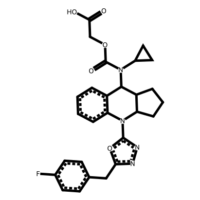 O=C(O)COC(=O)N(C1CC1)C1c2ccccc2N(c2nnc(Cc3ccc(F)cc3)o2)C2CCCC21